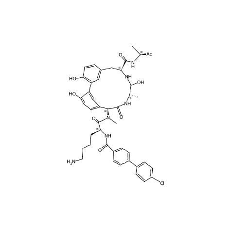 CC(=O)[C@H](C)NC(=O)[C@@H]1Cc2ccc(O)c(c2)-c2cc(ccc2O)[C@H](N(C)C(=O)[C@H](CCCCN)NC(=O)c2ccc(-c3ccc(Cl)cc3)cc2)C(=O)N[C@@H](C)C(O)N1